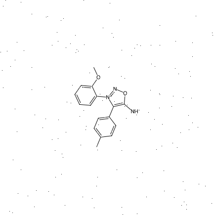 COc1ccccc1-[n+]1noc([NH-])c1-c1ccc(C)cc1